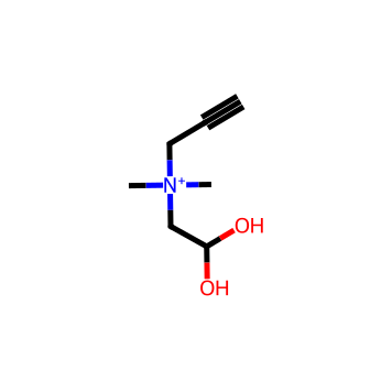 C#CC[N+](C)(C)CC(O)O